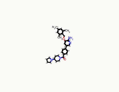 Cc1cc(C)c(COc2cc(-c3ccc(C(=O)N4CCC(N5CCCC5)CC4)cc3)cnc2N)c(C)c1